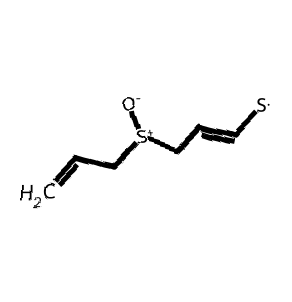 C=CC[S+]([O-])CC=C[S]